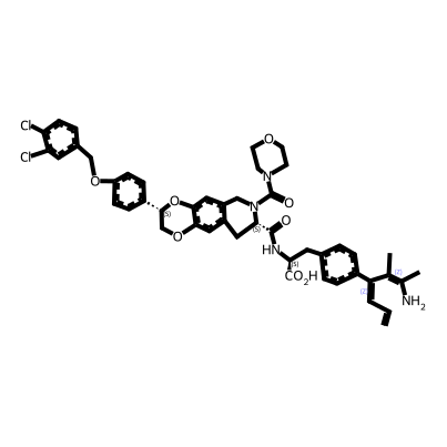 C=C/C=C(\C(C)=C(\C)N)c1ccc(C[C@H](NC(=O)[C@@H]2Cc3cc4c(cc3CN2C(=O)N2CCOCC2)O[C@@H](c2ccc(OCc3ccc(Cl)c(Cl)c3)cc2)CO4)C(=O)O)cc1